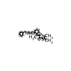 Cc1nc(C(=O)c2oc3cccc(OCCCNCc4cccnc4)c3c2C)sc1C